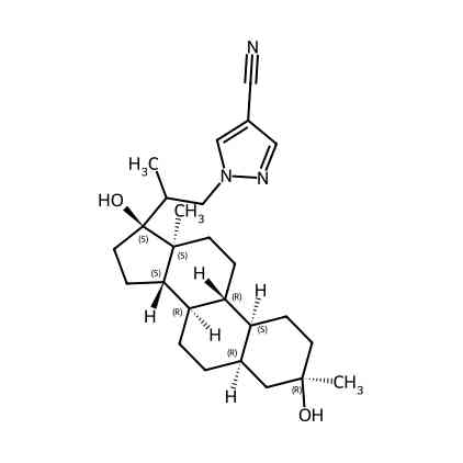 CC(Cn1cc(C#N)cn1)[C@@]1(O)CC[C@H]2[C@@H]3CC[C@@H]4C[C@](C)(O)CC[C@@H]4[C@H]3CC[C@@]21C